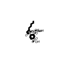 CCCCCc1cc(=O)n(-c2ccc(S(=O)(=O)O)cc2S(=O)(=O)O)[nH]1.[NaH].[NaH]